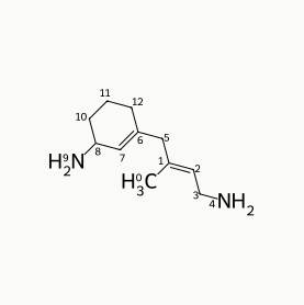 C/C(=C\CN)CC1=CC(N)CCC1